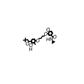 COc1ccc(C(=O)NC2CC2)cc1OCCCCOc1ccc(C(=O)CC(C)(C)C)c(O)c1C